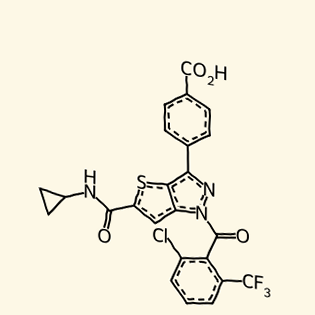 O=C(O)c1ccc(-c2nn(C(=O)c3c(Cl)cccc3C(F)(F)F)c3cc(C(=O)NC4CC4)sc23)cc1